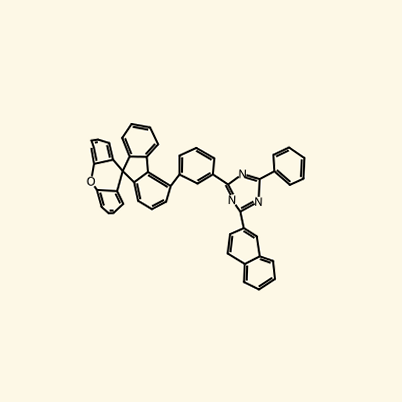 c1ccc(-c2nc(-c3cccc(-c4cccc5c4-c4ccccc4C54c5ccccc5Oc5ccccc54)c3)nc(-c3ccc4ccccc4c3)n2)cc1